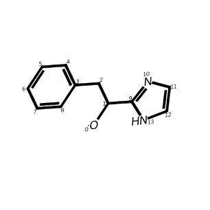 [O]C(Cc1ccccc1)c1ncc[nH]1